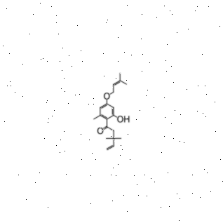 C=CC(C)(C)CC(=O)c1c(C)cc(OCC=C(C)C)cc1O